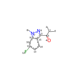 CC(C)C(=O)c1nn(C)c2cc(F)ccc12